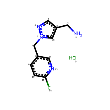 Cl.NCc1cnn(Cc2ccc(Cl)nc2)c1